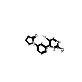 O=C1CCCN1c1cccc(-c2nc(Cl)ncc2F)c1